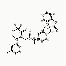 Cc1cccc([C@@H]2CCC(C)(C)C(=O)N2CC(=O)Nc2ccc3c(c2)C[C@@]2(C3)C(=O)Nc3ncccc32)c1